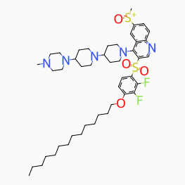 CCCCCCCCCCCCCCOc1ccc(S(=O)(=O)c2cnc3ccc([S+](C)[O-])cc3c2N2CCC(N3CCC(N4CCN(C)CC4)CC3)CC2)c(F)c1F